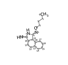 CCCCON=C1NC(=N)c2ccc3ccccc3c21